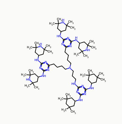 CC1(C)CC(Nc2nc(NCCCN(CCCCc3nc(NC4CC(C)(C)NC(C)(C)C4)nc(NC4CC(C)(C)NC(C)(C)C4)n3)CCCCc3nc(NC4CC(C)(C)NC(C)(C)C4)nc(NC4CC(C)(C)NC(C)(C)C4)n3)nc(NC3CC(C)(C)CC(C)(C)C3)n2)CC(C)(C)C1